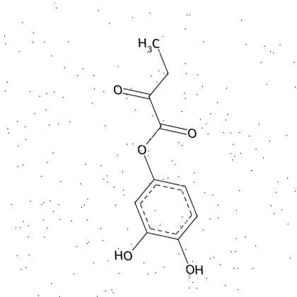 CCC(=O)C(=O)Oc1ccc(O)c(O)c1